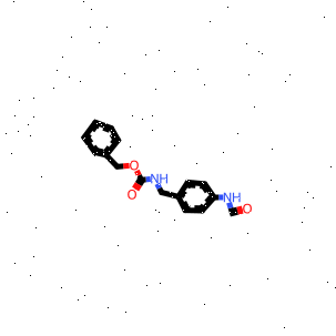 O=CNc1ccc(CNC(=O)OCc2ccccc2)cc1